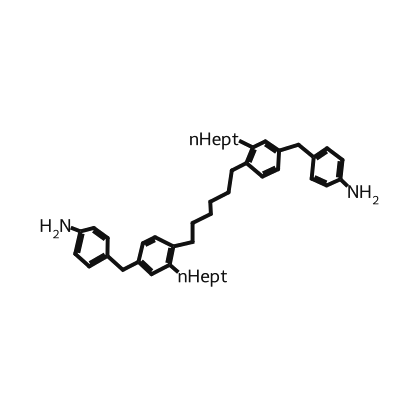 CCCCCCCc1cc(Cc2ccc(N)cc2)ccc1CCCCCCc1ccc(Cc2ccc(N)cc2)cc1CCCCCCC